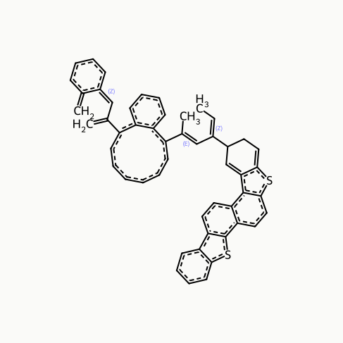 C=C(/C=c1/ccccc1=C)c1ccccccc(/C(C)=C/C(=C\C)C2C=c3c(sc4ccc5c(ccc6c7ccccc7sc65)c34)=CC2)c2ccccc12